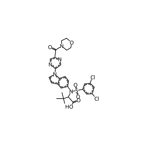 CC(C)(C)C(C(=O)O)N(c1ccc2c(ccn2-c2cnc(C(=O)N3CCOCC3)cn2)c1)S(=O)(=O)c1cc(Cl)cc(Cl)c1